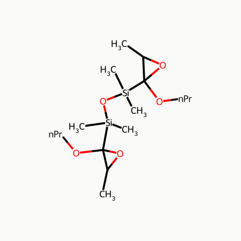 CCCOC1([Si](C)(C)O[Si](C)(C)C2(OCCC)OC2C)OC1C